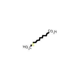 O=C(O)CCCCCCCCCCSCC(=O)O